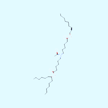 CCCCCC/C=C\COC(=O)CCCCCN(CCCCCC(=O)OC(CCCCCC)CCCCCC)C(C)=O